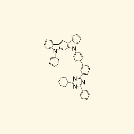 c1ccc(-c2nc(-c3cccc(-c4ccc(-n5c6ccccc6c6cc7c8ccccc8n(-c8ccccc8)c7cc65)cc4)c3)nc(C3CCCCC3)n2)cc1